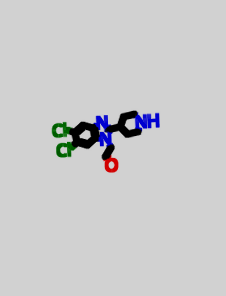 O=CCn1c(C2CCNCC2)nc2cc(Cl)c(Cl)cc21